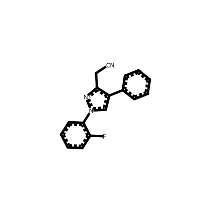 N#CCc1nn(-c2ccccc2F)cc1-c1ccccc1